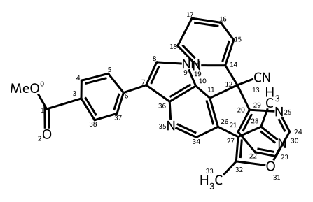 COC(=O)c1ccc(-c2c[nH]c3c(C(C#N)(c4ccccn4)c4ccccn4)c(-c4c(C)noc4C)cnc23)cc1